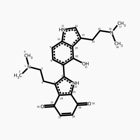 CN(C)CCc1c(-c2ccc3[nH]cc(CCN(C)C)c3c2O)[nH]c2c1C(=O)C=CC2=O